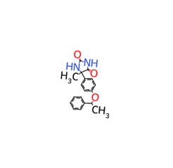 CC(Oc1ccc(C2(C)NC(=O)NC2=O)cc1)c1ccccc1